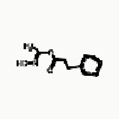 CC(=NO)OC(=O)CCc1ccccc1